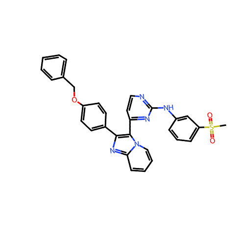 CS(=O)(=O)c1cccc(Nc2nccc(-c3c(-c4ccc(OCc5ccccc5)cc4)nc4ccccn34)n2)c1